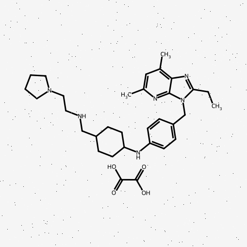 CCc1nc2c(C)cc(C)nc2n1Cc1ccc(NC2CCC(CNCCN3CCCC3)CC2)cc1.O=C(O)C(=O)O